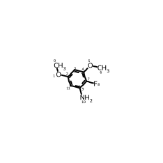 COc1[c]c(OC)c(F)c(N)c1